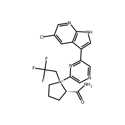 NC(=O)[C@@H]1CCC[N+]1(CC(F)(F)F)c1cncc(-c2c[nH]c3ncc(Cl)cc23)n1